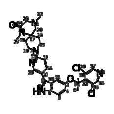 C[C@@H](Oc1ccc2[nH]nc(-c3ccc(N4CCC5(CC4)CN(C)CC(=O)N5C)nc3)c2c1)c1c(Cl)cncc1Cl